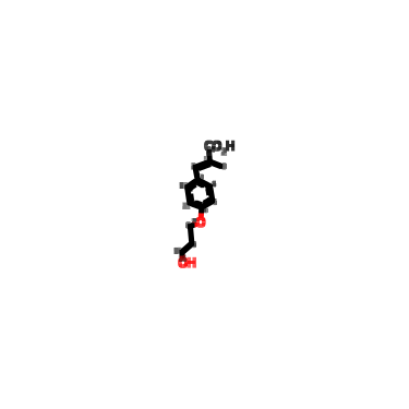 CC(=Cc1ccc(OCCCO)cc1)C(=O)O